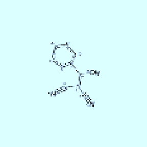 N#CC(C#N)=C(O)c1ccccc1